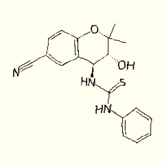 CC1(C)Oc2ccc(C#N)cc2[C@H](NC(=S)Nc2ccccc2)[C@H]1O